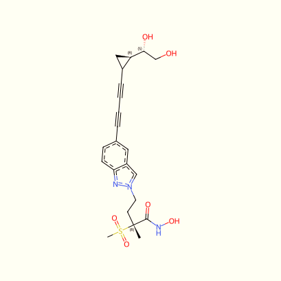 C[C@@](CCn1cc2cc(C#CC#CC3C[C@H]3[C@H](O)CO)ccc2n1)(C(=O)NO)S(C)(=O)=O